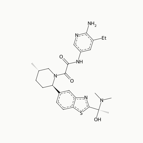 CCc1cc(NC(=O)C(=O)N2C[C@@H](C)CC[C@@H]2c2ccc3sc([C@](C)(O)N(C)C)nc3c2)cnc1N